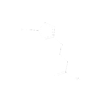 COC(=O)CCNc1ccc(C)s1